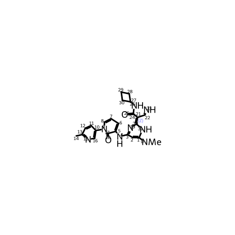 CNC1=CC(Nc2cccn(-c3ccc(C)nc3)c2=O)=N/C(=C(/C=N)C(=O)NC2CCC2)N1